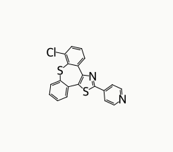 Clc1cccc2c1Sc1ccccc1-c1sc(-c3ccncc3)nc1-2